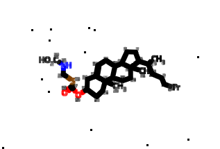 CC(C)CCCC(C)C1CCC2C3CC=C4CC(OC(=O)SCNC(=O)O)CCC4(C)C3CCC12C